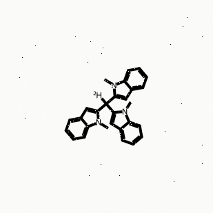 [2H]C(c1cc2ccccc2n1C)(c1cc2ccccc2n1C)c1cc2ccccc2n1C